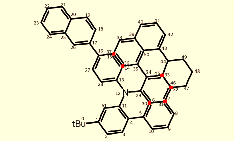 CC(C)(C)c1ccc(-c2ccccc2)c(N(c2ccc(-c3ccc4ccccc4c3)cc2)c2ccccc2-c2cccc3cccc(C4CCCCC4)c23)c1